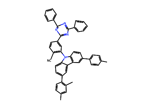 Cc1ccc(-c2ccc3c(c2)c2cc(-c4ccc(C)cc4C)ccc2n3-c2cc(-c3nc(-c4ccccc4)nc(-c4ccccc4)n3)ccc2C#N)cc1